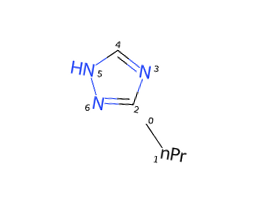 CCCC.c1nc[nH]n1